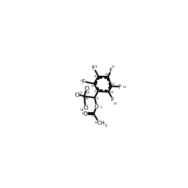 CC(=O)OC(c1c(F)c(F)c(F)c(F)c1F)C(Cl)(Cl)Cl